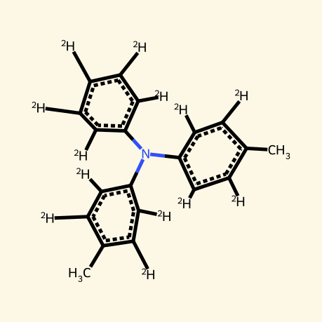 [2H]c1c([2H])c([2H])c(N(c2c([2H])c([2H])c(C)c([2H])c2[2H])c2c([2H])c([2H])c(C)c([2H])c2[2H])c([2H])c1[2H]